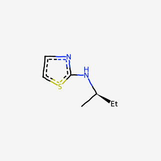 CC[C@@H](C)Nc1nccs1